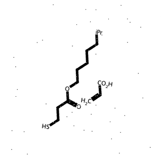 C=CC(=O)O.CC(C)CCCCCOC(=O)CCS